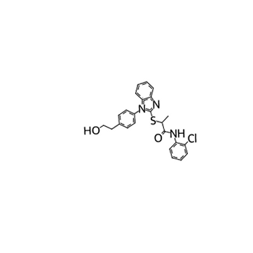 CC(Sc1nc2ccccc2n1-c1ccc(CCO)cc1)C(=O)Nc1ccccc1Cl